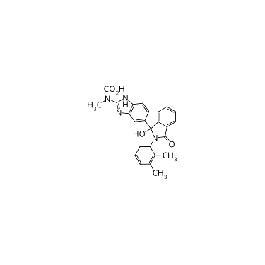 Cc1cccc(N2C(=O)c3ccccc3C2(O)c2ccc3[nH]c(N(C)C(=O)O)nc3c2)c1C